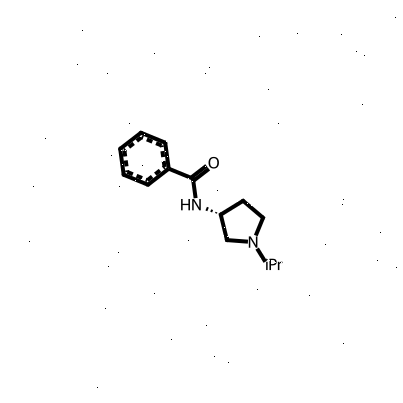 CC(C)N1CC[C@@H](NC(=O)c2ccccc2)C1